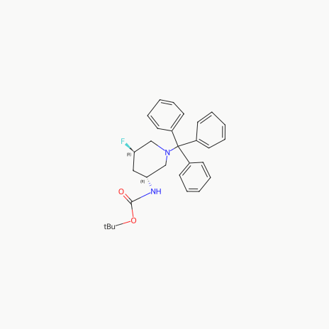 CC(C)(C)OC(=O)N[C@@H]1C[C@@H](F)CN(C(c2ccccc2)(c2ccccc2)c2ccccc2)C1